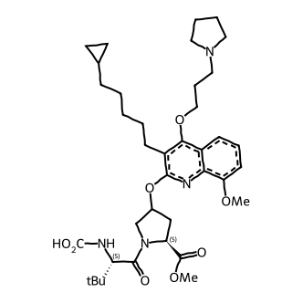 COC(=O)[C@@H]1CC(Oc2nc3c(OC)cccc3c(OCCCN3CCCC3)c2CCCCCC2CC2)CN1C(=O)[C@@H](NC(=O)O)C(C)(C)C